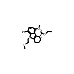 CCOC(=O)[C@H]1CCCc2c1c1c(OC)ccc(Cl)c1n2CCOC